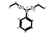 C[CH2][Zn][N]([Zn][CH2]C)c1ccccc1